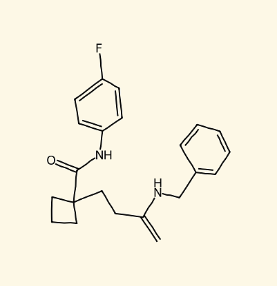 C=C(CCC1(C(=O)Nc2ccc(F)cc2)CCC1)NCc1ccccc1